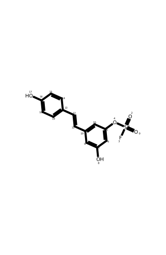 O=S(=O)(F)Oc1cc(O)cc(/C=C/c2ccc(O)cc2)c1